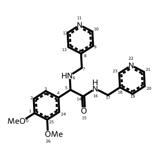 COc1ccc(C(NCc2ccncc2)C(=O)NCc2cccnc2)cc1OC